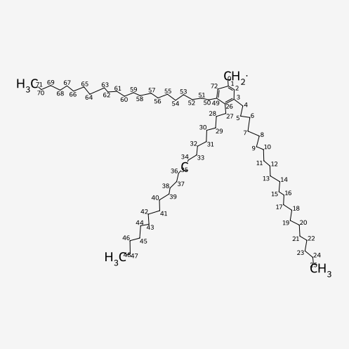 [CH2]c1cc(CCCCCCCCCCCCCCCCCCCCCC)c(CCCCCCCCCCCCCCCCCCCCCC)c(CCCCCCCCCCCCCCCCCCCCCC)c1